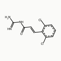 N=C(N)NC(=O)C=Cc1c(Cl)cccc1Cl